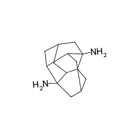 NC12CC3CC4C1CC1CC2C(C3)C4(N)C1